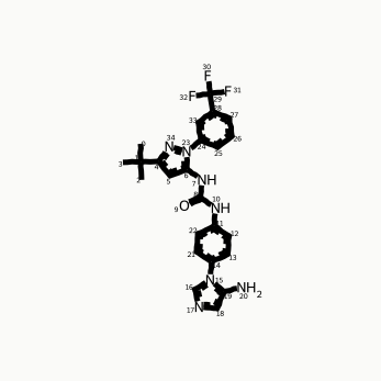 CC(C)(C)c1cc(NC(=O)Nc2ccc(-n3cncc3N)cc2)n(-c2cccc(C(F)(F)F)c2)n1